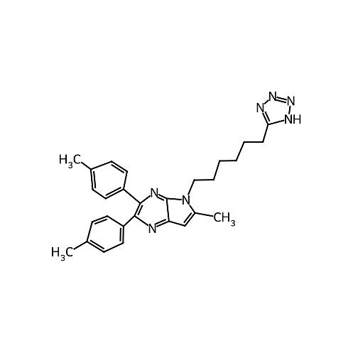 Cc1ccc(-c2nc3cc(C)n(CCCCCCc4nnn[nH]4)c3nc2-c2ccc(C)cc2)cc1